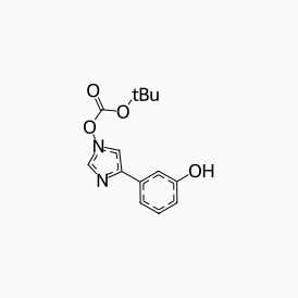 CC(C)(C)OC(=O)On1cnc(-c2cccc(O)c2)c1